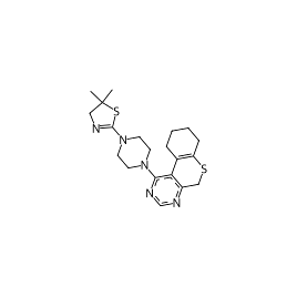 CC1(C)CN=C(N2CCN(c3ncnc4c3C3=C(CCCC3)SC4)CC2)S1